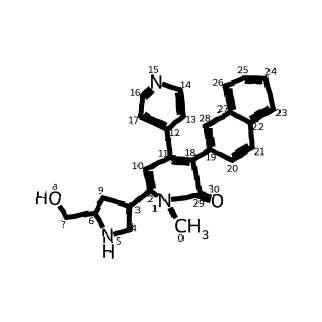 Cn1c(C2CNC(CO)C2)cc(-c2ccncc2)c(-c2ccc3ccccc3c2)c1=O